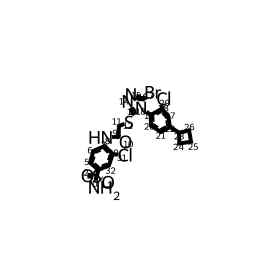 NS(=O)(=O)c1ccc(NC(=O)CSc2nnc(Br)n2-c2ccc(C3CCC3)cc2Cl)c(Cl)c1